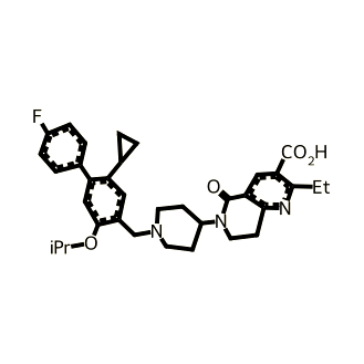 CCc1nc2c(cc1C(=O)O)C(=O)N(C1CCN(Cc3cc(C4CC4)c(-c4ccc(F)cc4)cc3OC(C)C)CC1)CC2